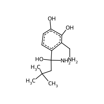 CC(C)(C)CC(N)(O)c1ccc(O)c(O)c1CN